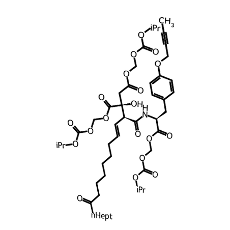 CC#CCOc1ccc(C[C@H](NC(=O)[C@@H](/C=C/CCCCCCC(=O)CCCCCCC)[C@@](O)(CC(=O)OCOC(=O)OC(C)C)C(=O)OCOC(=O)OC(C)C)C(=O)OCOC(=O)OC(C)C)cc1